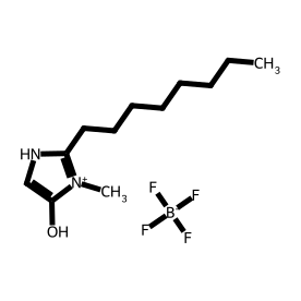 CCCCCCCCc1[nH]cc(O)[n+]1C.F[B-](F)(F)F